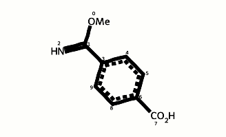 COC(=N)c1ccc(C(=O)O)cc1